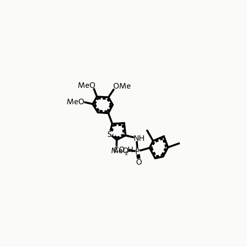 COc1cc(-c2cc(NP(=O)(OC)c3ccc(C)cc3C)c(C(=O)O)s2)cc(OC)c1OC